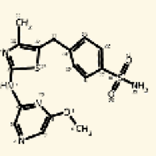 COc1cncc(Nc2nc(C)c(Cc3ccc(S(N)(=O)=O)cc3)s2)n1